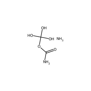 N.NC(=O)OC(O)(O)O